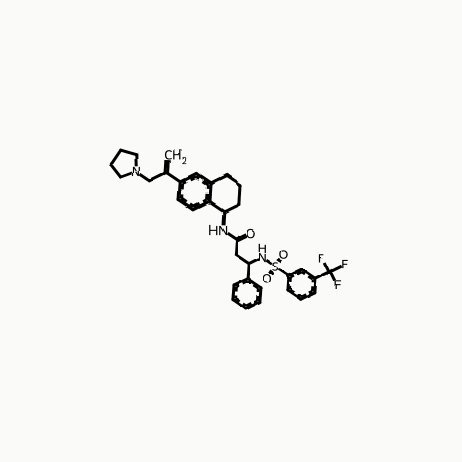 C=C(CN1CCCC1)c1ccc2c(c1)CCCC2NC(=O)CC(NS(=O)(=O)c1cccc(C(F)(F)F)c1)c1ccccc1